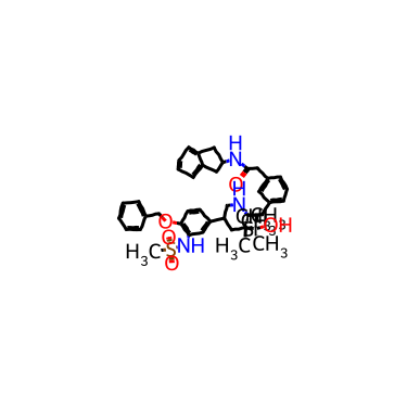 C[C@H](Cc1cccc(CC(=O)NC2Cc3ccccc3C2)c1)NCC(CC(C)(C)[Si](C)(C)O)c1ccc(OCc2ccccc2)c(NS(C)(=O)=O)c1